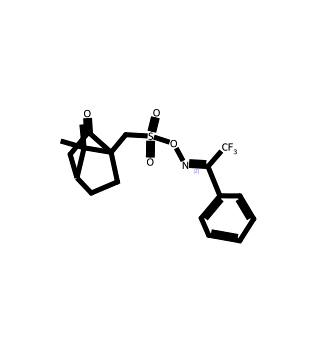 CC1(C)C2CCC1(CS(=O)(=O)O/N=C(/c1ccccc1)C(F)(F)F)C(=O)C2